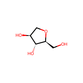 OC[C@@H]1OC[C@H](O)[C@H]1O